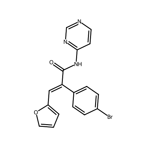 O=C(Nc1ccncn1)/C(=C/c1ccco1)c1ccc(Br)cc1